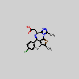 Cc1sc2c(c1C)C(c1ccc(Cl)cc1)=NC(CC(=O)O)c1nnc(C)n1-2